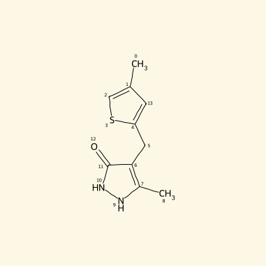 Cc1csc(Cc2c(C)[nH][nH]c2=O)c1